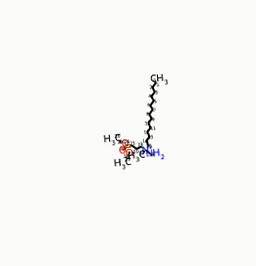 CCCCCCCCCCCCCCCC[N+](C)(N)CCCP(=O)(OCC)OCC